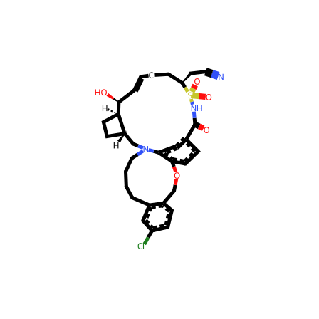 N#CC[C@@H]1CC/C=C/[C@H](O)[C@@H]2CC[C@H]2CN2CCCCc3cc(Cl)ccc3COc3ccc(cc32)C(=O)NS1(=O)=O